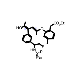 CCOC(=O)Cc1ccc(C)cc1O/C(C)=C/C(=C(\C)O)c1cccc(C(CF)N[S+]([O-])C(C)(C)C)c1